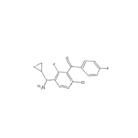 NC(c1ccc(Cl)c(C(=O)c2ccc(F)cc2)c1F)C1CC1